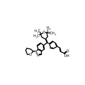 CC1(C)CC(=C(c2ccc(C=CC(=O)O)cc2)c2ccc3c(cnn3C3CCCCO3)c2)CC(C)(C)O1